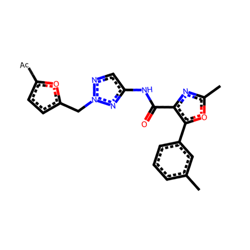 CC(=O)c1ccc(Cn2ncc(NC(=O)c3nc(C)oc3-c3cccc(C)c3)n2)o1